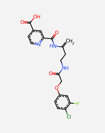 C=C(CCNC(=O)COc1ccc(Cl)c(F)c1)NC(=O)c1cc(C(=O)O)ccn1